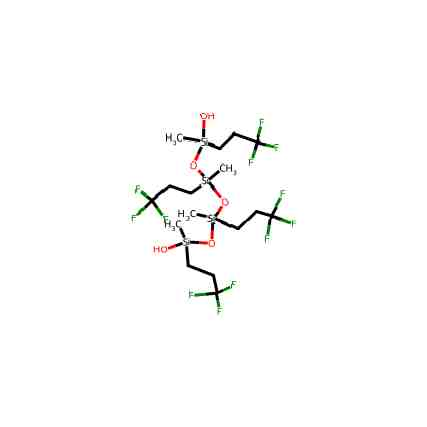 C[Si](O)(CCC(F)(F)F)O[Si](C)(CCC(F)(F)F)O[Si](C)(CCC(F)(F)F)O[Si](C)(O)CCC(F)(F)F